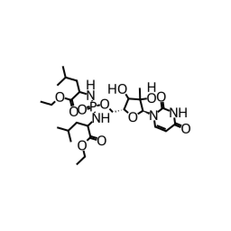 CCOC(=O)C(CC(C)C)NP(=O)(NC(CC(C)C)C(=O)OCC)OC[C@H]1O[C@H](n2ccc(=O)[nH]c2=O)C(C)(O)C1O